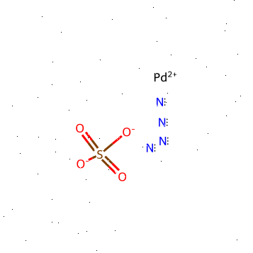 O=S(=O)([O-])[O-].[N].[N].[N].[N].[Pd+2]